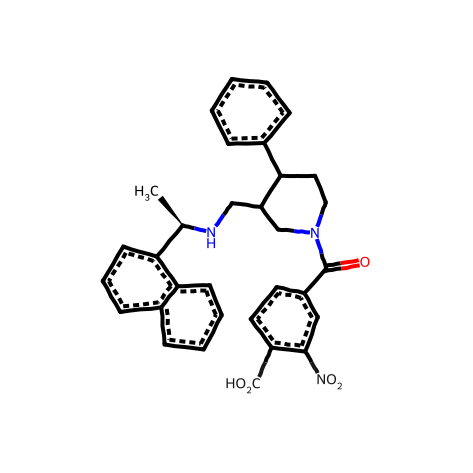 C[C@@H](NCC1CN(C(=O)c2ccc(C(=O)O)c([N+](=O)[O-])c2)CCC1c1ccccc1)c1cccc2ccccc12